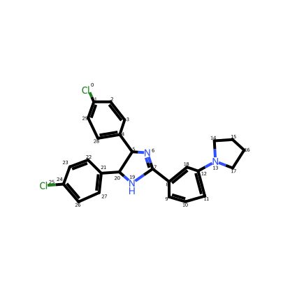 Clc1ccc(C2N=C(c3cccc(N4CCCC4)c3)NC2c2ccc(Cl)cc2)cc1